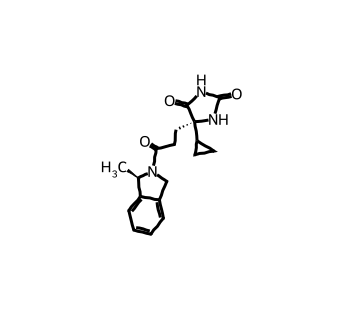 C[C@@H]1c2ccccc2CN1C(=O)CC[C@@]1(C2CC2)NC(=O)NC1=O